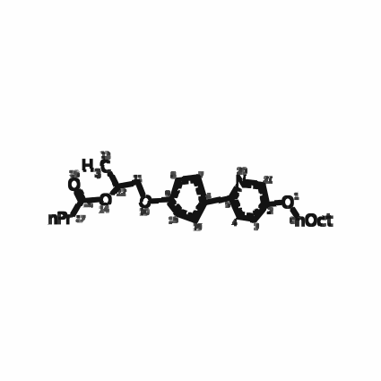 CCCCCCCCOc1ccc(-c2ccc(OCC(C)OC(=O)CCC)cc2)nc1